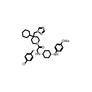 COc1ccc(N[C@H]2CC[C@@H](N[C@H](Cc3ccc(Cl)cc3)C(=O)N3CCC(Cn4cncn4)(C4CCCCC4)CC3)CC2)cc1